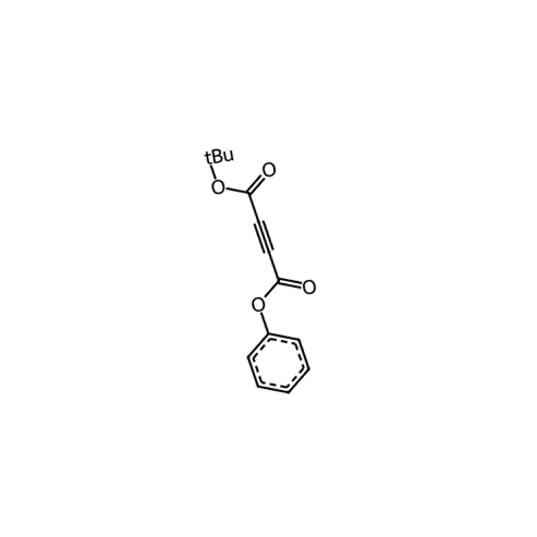 CC(C)(C)OC(=O)C#CC(=O)Oc1ccccc1